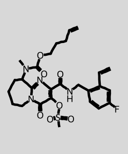 C=CCCCOC(=O)N(C)C1CCCCn2c1nc(C(=O)NCc1ccc(F)cc1C=C)c(OS(C)(=O)=O)c2=O